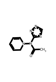 CC(=O)N(c1nn[c]s1)N1C=CC=CC1